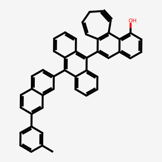 Cc1cccc(-c2ccc3ccc(-c4c5ccccc5c(-c5cc6cccc(O)c6c6c5C=CCC#C6)c5ccccc45)cc3c2)c1